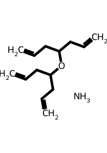 C=CCC(CC=C)OC(CC=C)CC=C.N